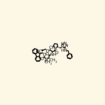 C#CCO[C@H](C)C(NC(=O)[C@H](C)N(C)C(=O)OCC1c2ccccc2-c2ccccc21)C(=O)N1CCC[C@H]1Cn1nnnc1NCc1ccccc1